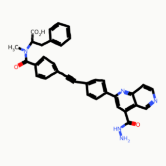 CN(C(=O)c1ccc(C#Cc2ccc(-c3cc(C(=O)NN)c4cnccc4n3)cc2)cc1)C(Cc1ccccc1)C(=O)O